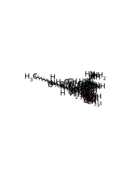 CCCCCCCCCCCC(=O)NCCCCCC(=O)NCCCC[C@H](NC(=O)[C@@H](N)[C@@H](C)CC)C(=O)N1CCN(c2ccc3ncn(CC(=O)N[C@@H](CCCNC(=N)N)C(=O)N[C@@H](Cc4c[nH]cn4)C(=O)N[C@@H](Cc4ccc(O)cc4)C(=O)N[C@@H](CC(C)C)C(=O)N[C@@H](CC(N)=O)C(=O)N[C@@H](Cc4c[nH]c5ccccc45)C(=O)N[C@H](C(C)=O)C(C)C)c(=O)c3c2)CC1